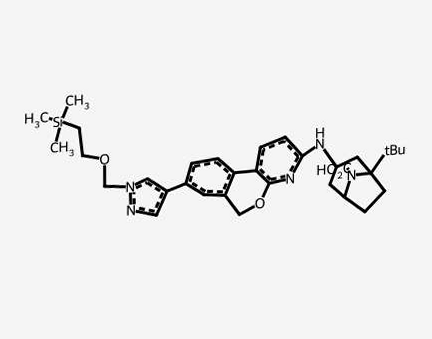 CC(C)(C)C12CCC(CC(Nc3ccc4c(n3)OCc3cc(-c5cnn(COCC[Si](C)(C)C)c5)ccc3-4)C1)N2C(=O)O